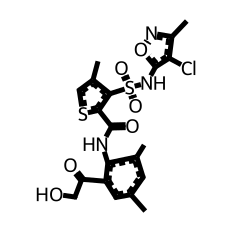 Cc1cc(C)c(NC(=O)c2scc(C)c2S(=O)(=O)Nc2onc(C)c2Cl)c(C(=O)CO)c1